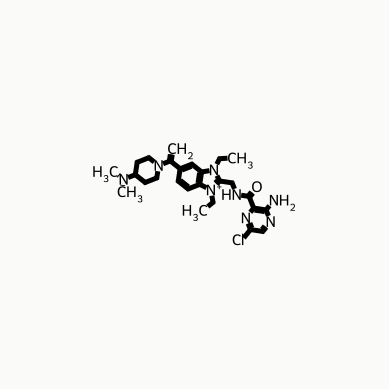 C=C(c1ccc2c(c1)n(CC)c(CNC(=O)c1nc(Cl)cnc1N)[n+]2CC)N1CCC(N(C)C)CC1